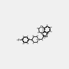 Fc1ccc(C2CCN(Cc3nc4cccc5c4n3CCO5)CC2)cc1